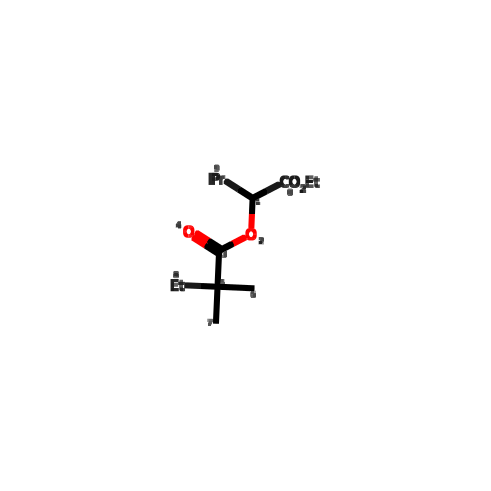 CCOC(=O)C(OC(=O)C(C)(C)CC)C(C)C